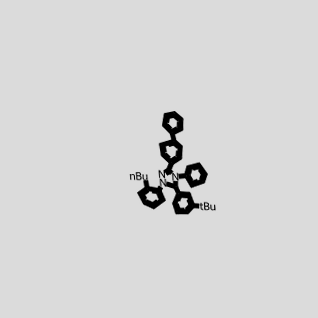 CCCCc1ccccc1N1N=C(c2ccc(-c3ccccc3)cc2)N(c2ccccc2)C1c1cccc(C(C)(C)C)c1